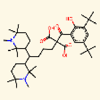 CN1C(C)(C)CCC(C(CCCC(C(=O)O)(C(=O)O)C(=O)c2cc(C(C)(C)C)cc(C(C)(C)C)c2O)C2CCC(C)(C)N(C)C2(C)C)C1(C)C